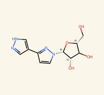 OC[C@H]1O[C@@H](n2ccc(-c3cn[nH]c3)n2)[C@@H](O)C1O